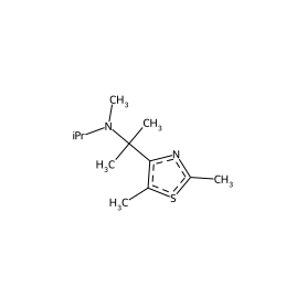 Cc1nc(C(C)(C)N(C)C(C)C)c(C)s1